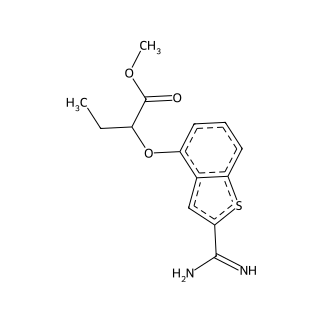 CCC(Oc1cccc2sc(C(=N)N)cc12)C(=O)OC